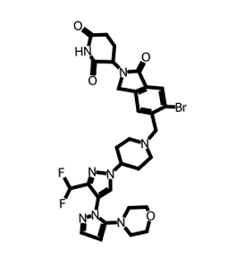 O=C1CCC(N2Cc3cc(CN4CCC(n5cc(-n6nccc6N6CCOCC6)c(C(F)F)n5)CC4)c(Br)cc3C2=O)C(=O)N1